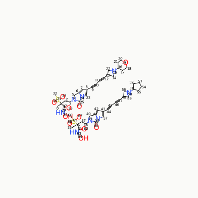 CC(CCN1Cc2cc(C#CC#CC3CN(C4CCOCC4)C3)cn2C1=O)(C(=O)NO)S(C)(=O)=O.C[C@@](CCN1Cc2cc(C#CC#CC3CN(C4CCCC4)C3)cn2C1=O)(C(=O)NO)S(C)(=O)=O